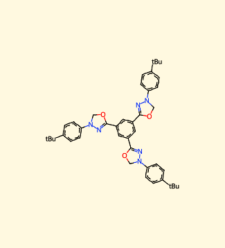 CC(C)(C)c1ccc(N2COC(c3cc(C4=NN(c5ccc(C(C)(C)C)cc5)CO4)cc(C4=NN(c5ccc(C(C)(C)C)cc5)CO4)c3)=N2)cc1